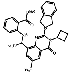 COC(=O)c1ccccc1NC(C)c1cc(C)cc2c(=O)n(C3CCC3)c(N3Cc4ccccc4C3)nc12